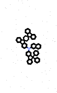 c1ccc(C2(c3ccccc3)c3ccccc3-c3ccc(N(c4ccc5c(c4)C4(CCC6(CC4)c4ccccc4-c4ccccc46)c4ccccc4-5)c4ccc5ccccc5c4)cc32)cc1